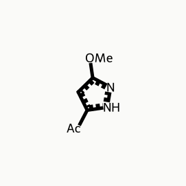 COc1cc(C(C)=O)[nH]n1